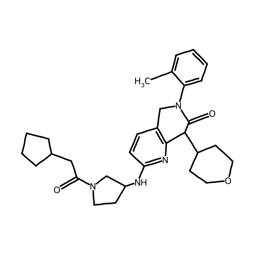 Cc1ccccc1N1Cc2ccc(NC3CCN(C(=O)CC4CCCC4)C3)nc2C(C2CCOCC2)C1=O